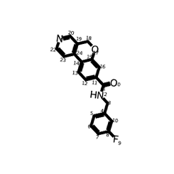 O=C(NCc1cccc(F)c1)c1ccc2c(c1)OCc1cnccc1-2